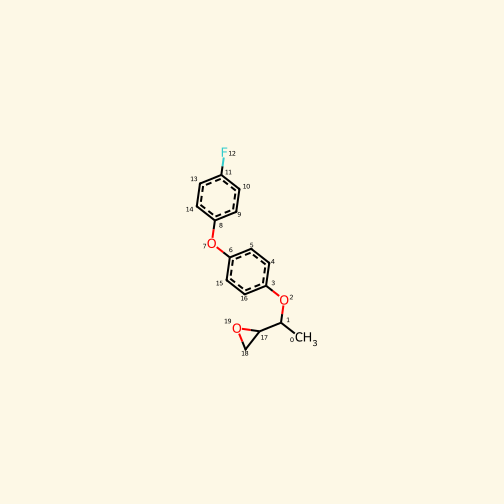 CC(Oc1ccc(Oc2ccc(F)cc2)cc1)C1CO1